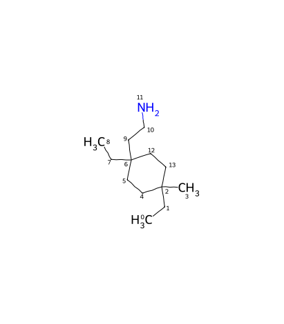 CCC1(C)CCC(CC)(CCN)CC1